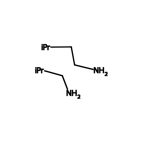 CC(C)CCN.CC(C)CN